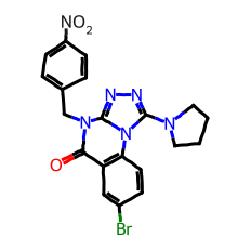 O=c1c2cc(Br)ccc2n2c(N3CCCC3)nnc2n1Cc1ccc([N+](=O)[O-])cc1